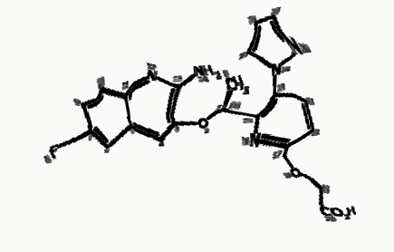 C[C@H](Oc1cc2cc(F)ccc2nc1N)c1nc(OCC(=O)O)ccc1-n1cccn1